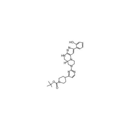 CC(C)(C)OC(=O)N1CCC(c2ccnc(N3CCN4c5cc(-c6ccccc6O)nnc5NC[C@H]4C3)n2)CC1